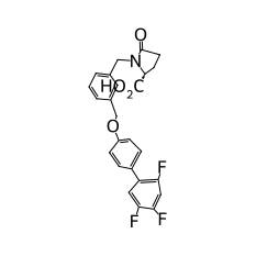 O=C(O)[C@@H]1CCC(=O)N1Cc1cccc(COc2ccc(-c3cc(F)c(F)cc3F)cc2)c1